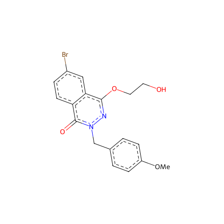 COc1ccc(Cn2nc(OCCO)c3cc(Br)ccc3c2=O)cc1